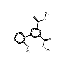 COC(=O)c1cc(C(=O)OC)cc(-c2ccccc2OC)c1